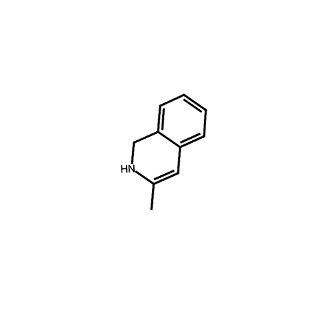 CC1=Cc2ccccc2CN1